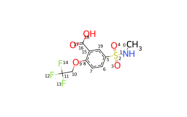 CNS(=O)(=O)c1ccc(OCC(F)(F)F)c(C(=O)O)c1